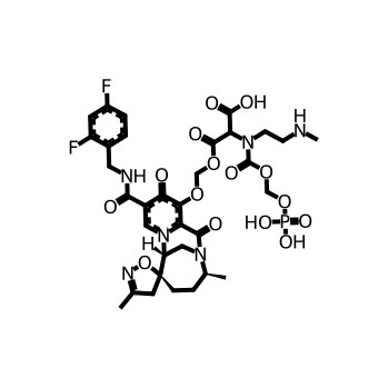 CNCCN(C(=O)OCOP(=O)(O)O)C(C(=O)O)C(=O)OCOc1c2n(cc(C(=O)NCc3ccc(F)cc3F)c1=O)[C@@H]1CN(C2=O)[C@@H](C)CC[C@]12CC(C)=NO2